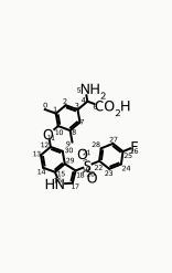 Cc1cc(C(N)C(=O)O)cc(C)c1Oc1ccc2[nH]cc(S(=O)(=O)c3ccc(F)cc3)c2c1